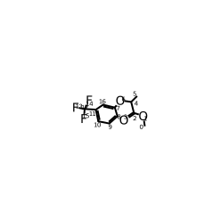 COC(=O)C(C)Oc1cccc(C(F)(F)F)c1